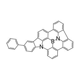 c1ccc(-c2ccc3c(c2)c2ccc4c5c2n3-c2cccc3c2B5n2c5c-3cccc5c3cccc-4c32)cc1